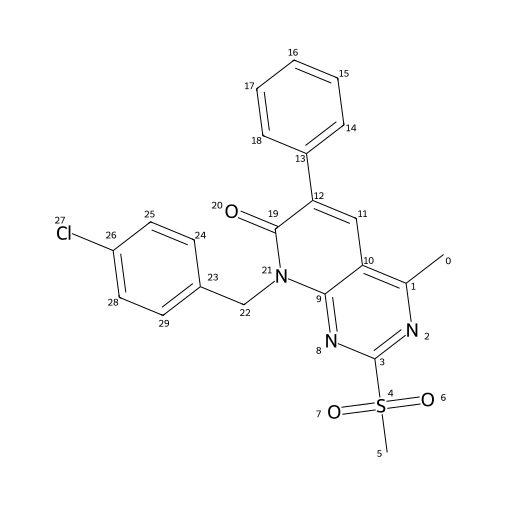 Cc1nc(S(C)(=O)=O)nc2c1cc(-c1ccccc1)c(=O)n2Cc1ccc(Cl)cc1